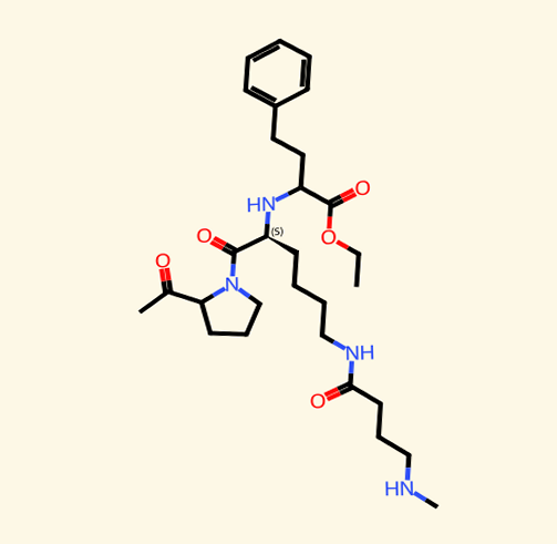 CCOC(=O)C(CCc1ccccc1)N[C@@H](CCCCNC(=O)CCCNC)C(=O)N1CCCC1C(C)=O